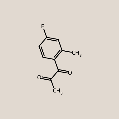 CC(=O)C(=O)c1ccc(F)cc1C